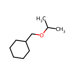 CC(C)OCC1CCCCC1